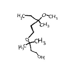 CCC(C)(CCOC(C)(C)CCO)OC